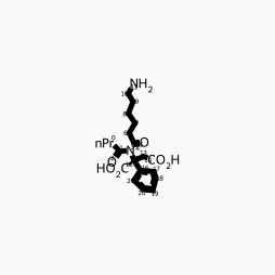 CCCC(=O)N(C(=O)CCCCCN)[C@@](CC(=O)O)(C(=O)O)c1ccccc1